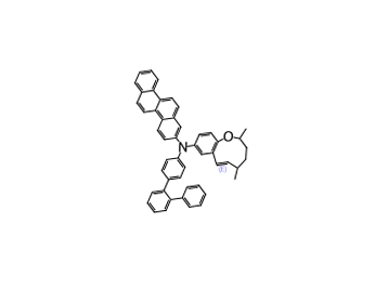 CC1/C=C/c2cc(N(c3ccc(-c4ccccc4-c4ccccc4)cc3)c3ccc4c(ccc5c6ccccc6ccc45)c3)ccc2OC(C)CC1